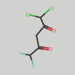 O=C(CC(=O)C(Cl)Cl)C(F)F